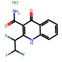 Cl.NC(=O)c1c(C(F)C(F)F)[nH]c2ccccc2c1=O